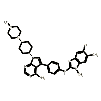 Cc1cc2c(cc1Cl)nc(Nc1ccc(-c3cn([C@H]4CC[C@H](N5CCN(C)CC5)CC4)c4ncnc(N)c34)cc1)n2C